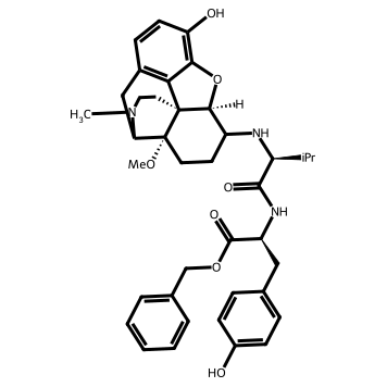 CO[C@@]12CCC(N[C@H](C(=O)N[C@@H](Cc3ccc(O)cc3)C(=O)OCc3ccccc3)C(C)C)[C@@H]3Oc4c(O)ccc5c4[C@@]31CCN(C)C2C5